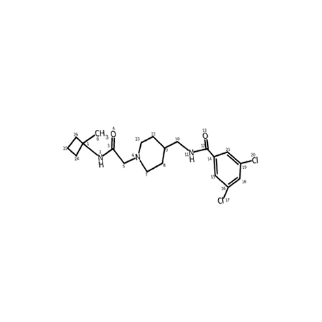 CC1(NC(=O)CN2CCC(CNC(=O)c3cc(Cl)cc(Cl)c3)CC2)CCC1